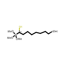 CCCCCCCCCCCCCCCCC[C@H](S)[Si](OC)(OC)OC